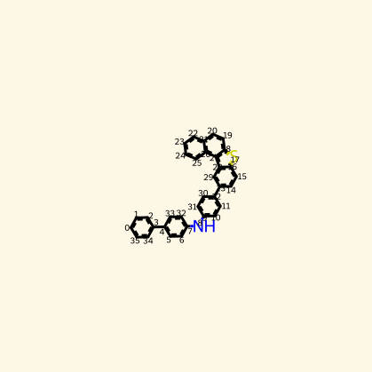 c1ccc(-c2ccc(Nc3ccc(-c4ccc5sc6ccc7ccccc7c6c5c4)cc3)cc2)cc1